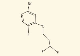 Fc1ccc(Br)cc1OCCC(F)F